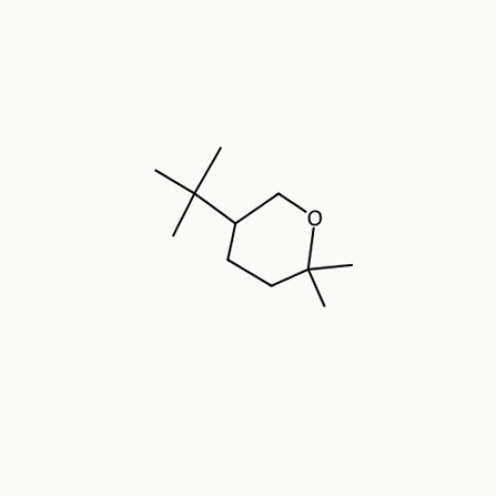 CC1(C)CCC(C(C)(C)C)CO1